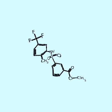 COC(=O)c1cccc(S(=O)(=O)Nc2cc(C(F)(F)F)ccc2C)c1